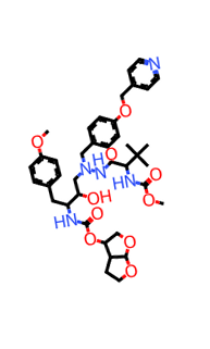 COC(=O)NC(C(=O)NN(Cc1ccc(OCc2ccncc2)cc1)CC(O)C(Cc1ccc(OC)cc1)NC(=O)OC1COC2OCCC12)C(C)(C)C